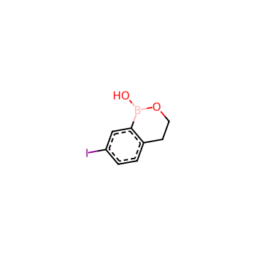 OB1OCCc2ccc(I)cc21